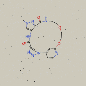 Cn1cc2c(n1)C(=O)NCCOCCOc1cc(ccn1)-n1cc(nn1)C(=O)N2